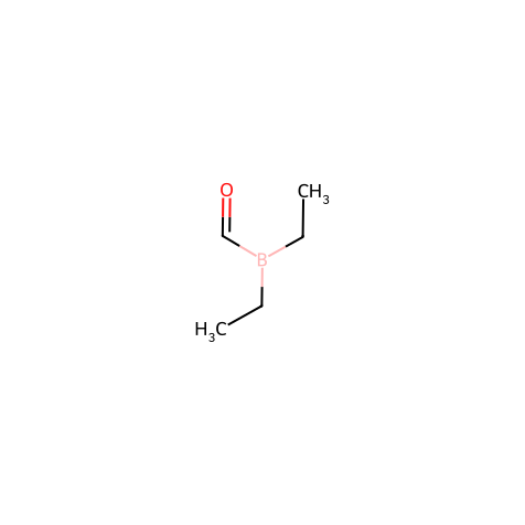 CCB(C=O)CC